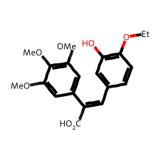 CCOc1ccc(C=C(C(=O)O)c2cc(OC)c(OC)c(OC)c2)cc1O